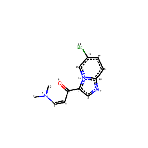 CN(C)/C=C\C(=O)c1cnc2ccc(Br)cn12